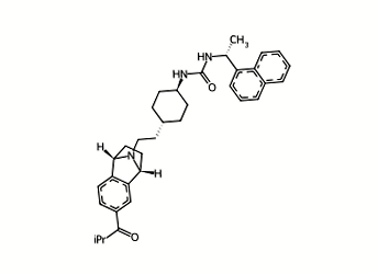 CC(C)C(=O)c1ccc2c(c1)[C@H]1CC[C@@H]2N1CC[C@H]1CC[C@H](NC(=O)N[C@H](C)c2cccc3ccccc23)CC1